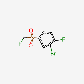 O=S(=O)(CF)c1ccc(F)c(Br)c1